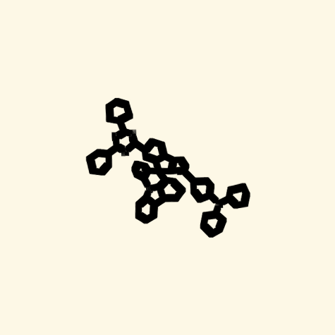 c1ccc(-c2nc(-c3ccccc3)nc(-c3ccc4c(c3)C3(c5ccccc5B5c6ccccc6-c6cccc3c65)c3cc(-c5ccc(N(c6ccccc6)c6ccccc6)cc5)ccc3-4)n2)cc1